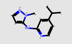 CC(C)c1ccnc(Nc2ccnn2C)c1